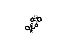 C[Si]1(C)c2ccccc2N(c2ccc(C=C3C(=O)c4ccccc4C3=O)[te]2)c2ccccc21